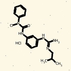 CC(C)CN=C(N)Nc1cccc(NC(=O)N(Cl)c2ccccc2)c1.Cl